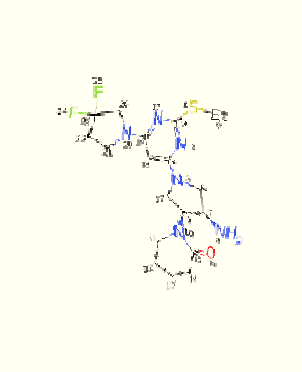 CCSc1nc(N2C[C@@H](N)[C@@H](N3CCCCC3=O)C2)cc(N2CCC(F)(F)C2)n1